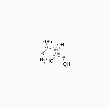 CC(C)(C)C(CO)[C@H](O)[C@@H](O)CO